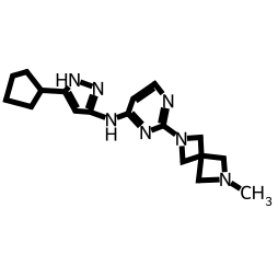 CN1CC2(C1)CN(c1nccc(Nc3cc(C4CCCC4)[nH]n3)n1)C2